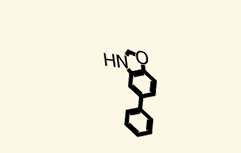 c1ccc(-c2ccc3c(c2)NCO3)cc1